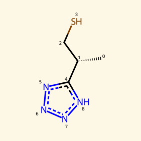 C[C@@H](CS)c1nnn[nH]1